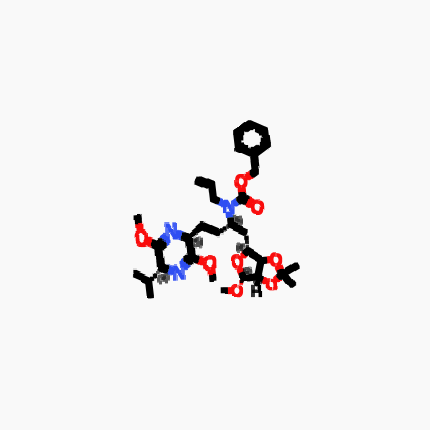 C=CCN(C(=O)OCc1ccccc1)[C@@H](CC[C@@H]1N=C(OC)[C@@H](C(C)C)N=C1OC)C[C@H]1O[C@@H](OC)[C@H]2OC(C)(C)OC12